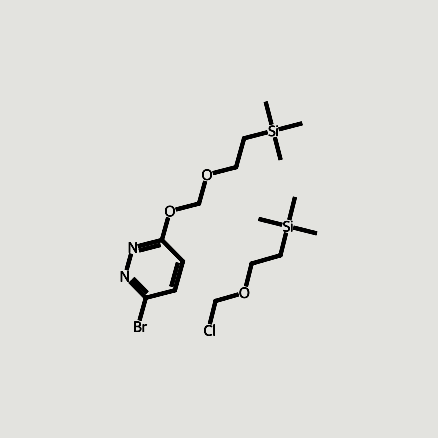 C[Si](C)(C)CCOCCl.C[Si](C)(C)CCOCOc1ccc(Br)nn1